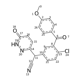 COc1ccc(C(=O)c2cc(C(C#N)c3ccc(=O)[nH]n3)ccc2Cl)cc1